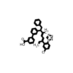 C=C/C(=C\C=C(/C)C(Cc1ccccc1)c1cccc(-c2cccc(C(=O)O)c2)c1)c1cc(Cl)ccc1-n1cnnn1